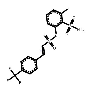 NS(=O)(=O)c1c(F)cccc1NS(=O)(=O)/C=C/c1ccc(C(F)(F)F)cc1